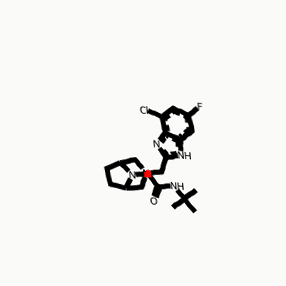 CC(C)(C)NC(=O)CN1C2CCC1CN(Cc1nc3c(Cl)cc(F)cc3[nH]1)C2